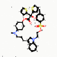 Cc1ccc(S(=O)(=O)OCCn2cc(CCCN(C)C3CCC(OC(=O)C(O)(c4cccs4)c4cccs4)CC3)c3ccccc32)cc1